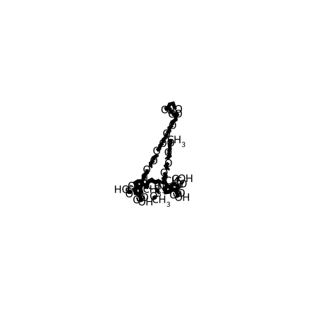 COCCOCCOCCOCCC1(C)c2c(ccc3c(S(=O)(=O)O)cc(S(=O)(=O)O)cc23)N(CCOC)C1/C=C/C=C1/N(CCOCCOCCOCCOCCOCCOCCC(=O)ON2C(=O)CCC2=O)c2ccc3c(S(=O)(=O)O)cc(S(=O)(=O)O)cc3c2C1(C)C